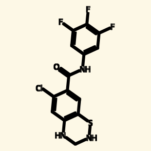 O=C(Nc1cc(F)c(F)c(F)c1)c1cc2c(cc1Cl)NCNS2